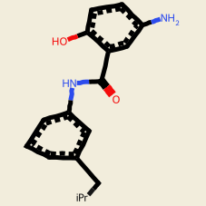 CC(C)Cc1cccc(NC(=O)c2cc(N)ccc2O)c1